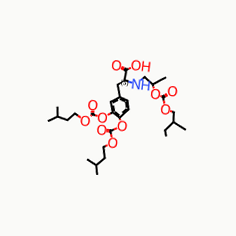 CCC(C)COC(=O)OC(C)CN[C@@H](Cc1ccc(OC(=O)OCCC(C)C)c(OC(=O)OCCC(C)C)c1)C(=O)O